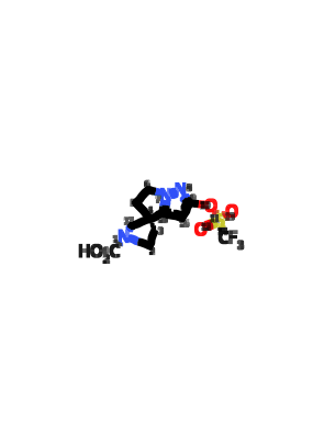 O=C(O)N1CC[C@@]2(CCn3nc(OS(=O)(=O)C(F)(F)F)cc32)C1